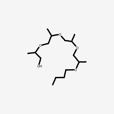 CCCCOC(C)COC(C)COC(C)COC(C)CO